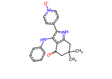 CC1(C)CC(=O)c2c([nH]c(-c3cc[n+]([O-])cc3)c2Nc2ccccc2)C1